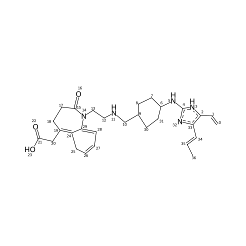 C=Cc1[nH]c(NC2CCC(CNCCN3C(=O)CCC(CC(=O)O)=C4CC=CC=C43)CC2)nc1C=CC